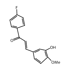 COc1ccc(C=CC(=O)c2ccc(F)cc2)cc1O